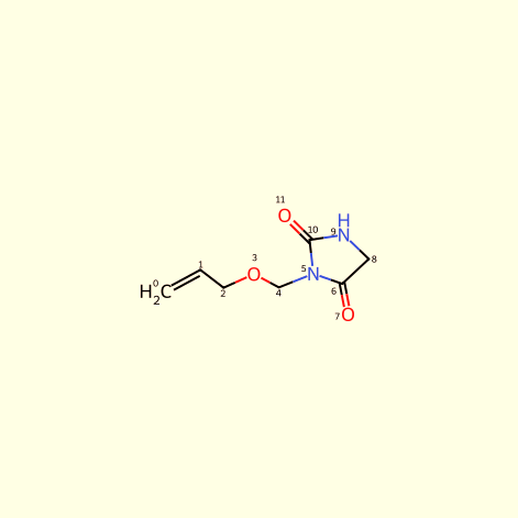 C=CCOCN1C(=O)CNC1=O